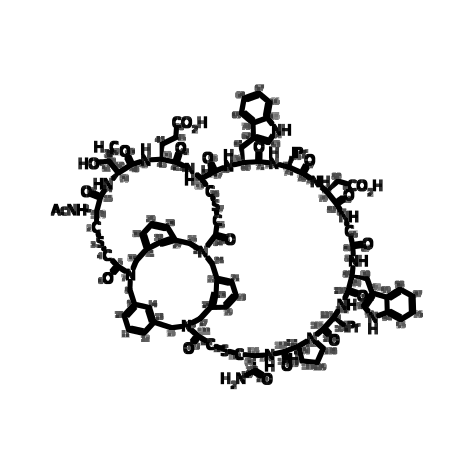 CC(=O)N[C@H]1CSCC(=O)N2Cc3cccc(c3)CN3Cc4cccc(c4)CN(Cc4cccc(c4)C2)C(=O)CSC[C@H](NC(=O)[C@H](CCC(=O)O)NC(=O)[C@H]([C@@H](C)O)NC1=O)C(=O)N[C@@H](Cc1c[nH]c2ccccc12)C(=O)N[C@@H](C(C)C)C(=O)N[C@@H](CC(=O)O)C(=O)NCC(=O)N[C@@H](Cc1c[nH]c2ccccc12)C(=O)N[C@@H](C(C)C)C(=O)N1CCC[C@H]1C(=O)N[C@H](C(N)=O)CSCC3=O